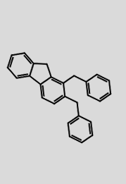 c1ccc(Cc2ccc3c(c2Cc2ccccc2)Cc2ccccc2-3)cc1